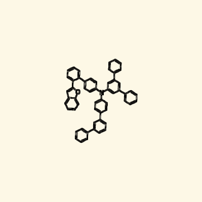 c1ccc(-c2cccc(-c3ccc(N(c4ccc(-c5ccccc5-c5cc6ccccc6o5)cc4)c4cc(-c5ccccc5)cc(-c5ccccc5)c4)cc3)c2)cc1